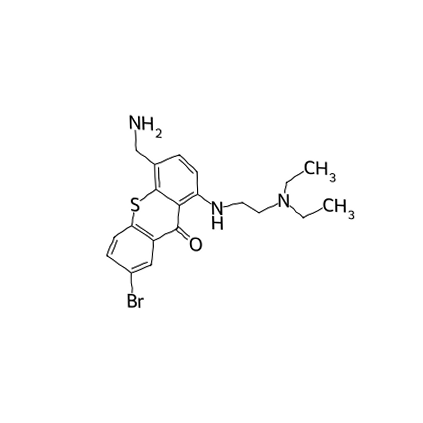 CCN(CC)CCNc1ccc(CN)c2sc3ccc(Br)cc3c(=O)c12